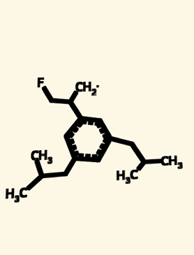 [CH2]C(CF)c1cc(CC(C)C)cc(CC(C)C)c1